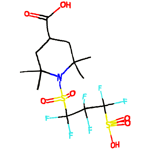 CC1(C)CC(C(=O)O)CC(C)(C)N1S(=O)(=O)C(F)(F)C(F)(F)C(F)(F)S(=O)(=O)O